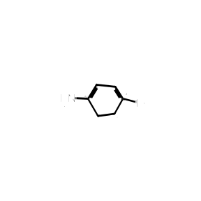 NC1=CC=C(F)CC1